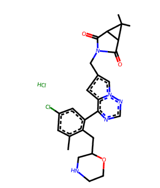 Cc1cc(Cl)cc(-c2ncnn3cc(CN4C(=O)C5C(C4=O)C5(C)C)cc23)c1CC1CNCCO1.Cl